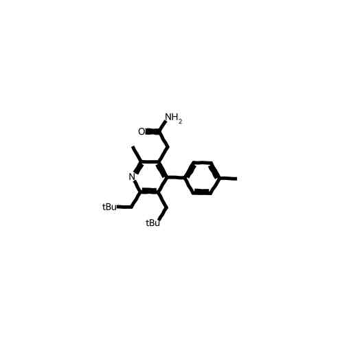 Cc1ccc(-c2c(CC(N)=O)c(C)nc(CC(C)(C)C)c2CC(C)(C)C)cc1